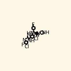 N#Cc1cnc2c(N[C@@H](c3ccc(F)cc3)c3cn(C4CCNCC4)nn3)cc(Cl)cc2c1Nc1ccc(F)c(Cl)c1